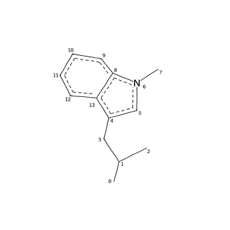 CC(C)Cc1cn(C)c2ccccc12